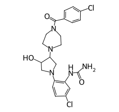 NC(=O)Nc1cc(Cl)ccc1N1CC(O)C(N2CCN(C(=O)c3ccc(Cl)cc3)CC2)C1